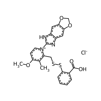 COc1cc[n+](-c2nc3cc4c(cc3[nH]2)OCO4)c(CSSc2ccccc2C(=O)O)c1C.[Cl-]